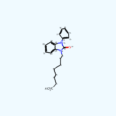 O=C(O)CCCCCCCn1c(=O)n(-c2ccccc2)c2ccccc21